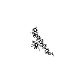 Cc1cc(CC(CC(=O)N2CCC(N3Cc4ccccc4NC3=O)CC2)C(=O)N2CCN(C3CCN(C)CC3)CC2)cc(Br)c1Cl